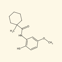 COc1ccc(S)c(NC(=O)C2(C)CCCCC2)c1